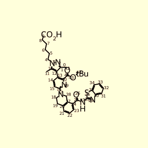 Cc1nn(CCCCCC(=O)O)c(C)c1-c1ccc(N2CCc3cccc(C(=O)Nc4nc5ccccc5s4)c3C2)nc1C(=O)OC(C)(C)C